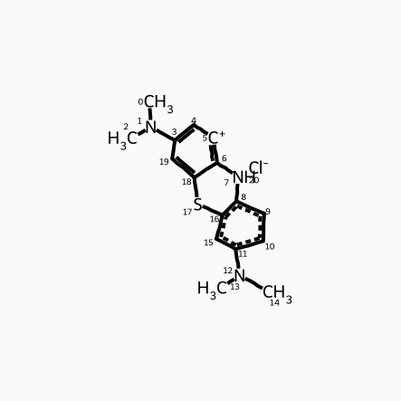 CN(C)C1=C[C+]=C2Nc3ccc(N(C)C)cc3SC2=C1.[Cl-]